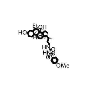 CC[C@@H]1C2C[C@H](O)CC[C@]2(C)[C@H]2CC[C@]3(C)[C@@H]([C@H](C)CCNC(=O)NS(=O)(=O)c4ccc(OC)cc4)CC[C@H]3[C@@H]2[C@@H]1O